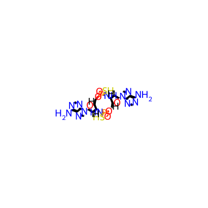 C[C@@H]1[C@@H]2NP(=O)(S)OC[C@H]3O[C@@H](n4cnc5c(N)ncnc54)[C@H](C)[C@@H]3NP(=O)(S)OC[C@H]2O[C@H]1n1cnc2c(N)ncnc21